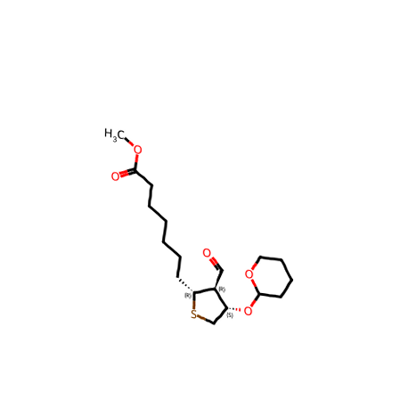 COC(=O)CCCCCC[C@H]1SC[C@@H](OC2CCCCO2)[C@@H]1C=O